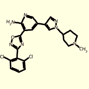 CN1CCC(n2cc(-c3cnc(N)c(-c4nc(-c5c(Cl)cccc5Cl)no4)c3)cn2)CC1